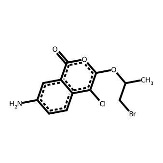 CC(CBr)Oc1oc(=O)c2cc(N)ccc2c1Cl